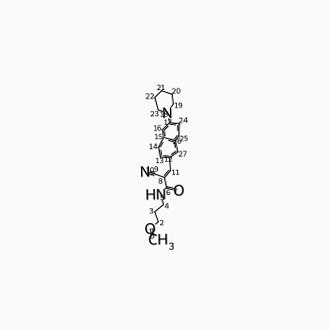 COCCCNC(=O)/C(C#N)=C/c1ccc2cc(N3CCCCC3)ccc2c1